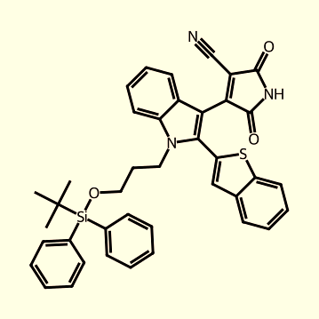 CC(C)(C)[Si](OCCCn1c(-c2cc3ccccc3s2)c(C2=C(C#N)C(=O)NC2=O)c2ccccc21)(c1ccccc1)c1ccccc1